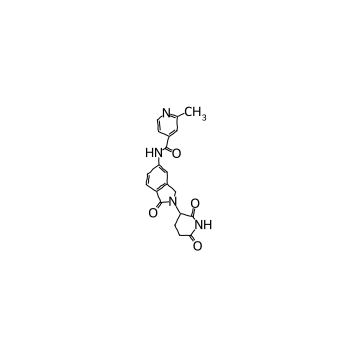 Cc1cc(C(=O)Nc2ccc3c(c2)CN(C2CCC(=O)NC2=O)C3=O)ccn1